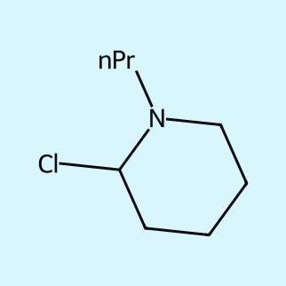 CCCN1CCCCC1Cl